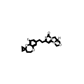 O=c1nc(CCc2cc(F)c3c(c2)OCCC2(CC2)O3)cc2n1C[C@@H]1COCN21